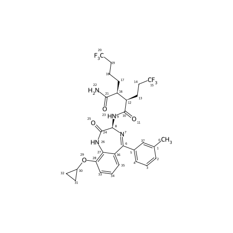 Cc1cccc(C2=N[C@H](NC(=O)[C@H](CCC(F)(F)F)[C@H](CCCC(F)(F)F)C(N)=O)C(=O)Nc3c(OC4CC4)cccc32)c1